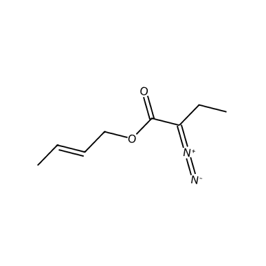 CC=CCOC(=O)C(CC)=[N+]=[N-]